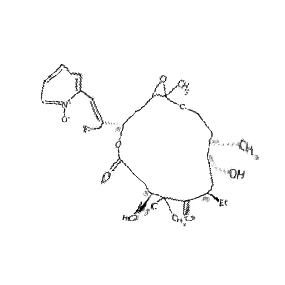 CC[C@H]1C(=O)C(C)(C)[C@@H](O)CC(=O)O[C@H](C(F)=Cc2cccc[n+]2[O-])CC2OC2(C)CCC[C@H](C)[C@@H]1O